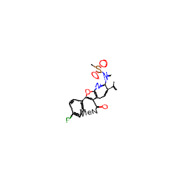 C=C(C)c1cc2c(C(=O)NC)c(-c3ccc(F)cc3)oc2nc1N(C)S(C)(=O)=O